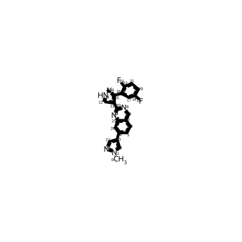 Cn1cc(-c2ccc3cnc(-c4c[nH]nc4-c4cc(F)ccc4F)nc3c2)cn1